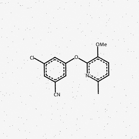 COc1ccc(C)nc1Oc1cc(Cl)cc(C#N)c1